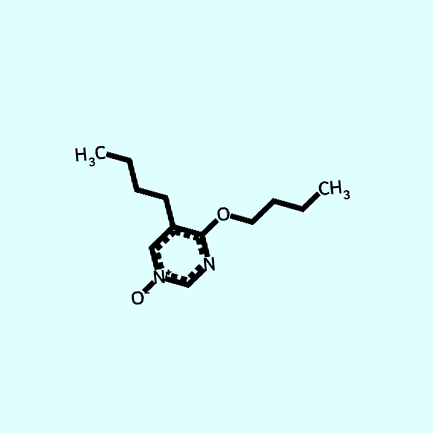 CCCCOc1nc[n+]([O-])cc1CCCC